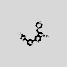 CCCn1cc(CN2CCOCC2)c2cc(-c3cc(-c4noc(C(F)(F)F)n4)ccn3)ncc21